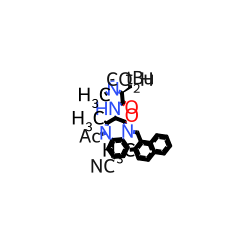 CC(=O)N1c2cc(C#N)ccc2N(Cc2c(C)ccc3ccccc23)C(=O)[C@@H](NC(=O)[C@H](CC(C)(C)C)N(C)C(=O)O)[C@@H]1C